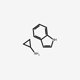 NC1CC1.c1ccc2[nH]ccc2c1